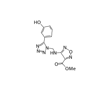 COC(=O)c1nonc1NCn1nnnc1-c1cccc(O)c1